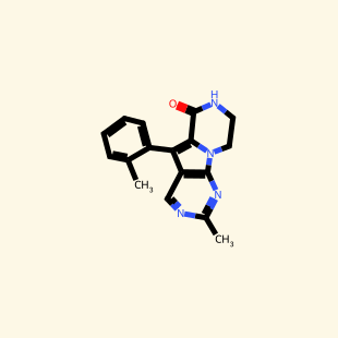 Cc1ncc2c(-c3ccccc3C)c3n(c2n1)CCNC3=O